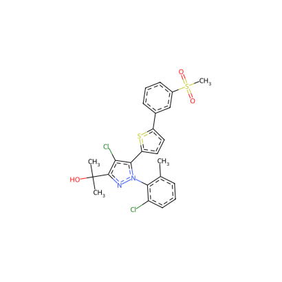 Cc1cccc(Cl)c1-n1nc(C(C)(C)O)c(Cl)c1-c1ccc(-c2cccc(S(C)(=O)=O)c2)s1